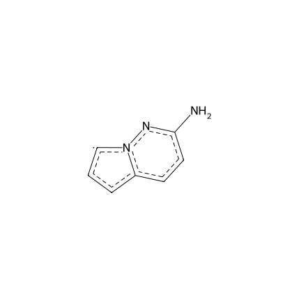 Nc1ccc2cc[c]n2n1